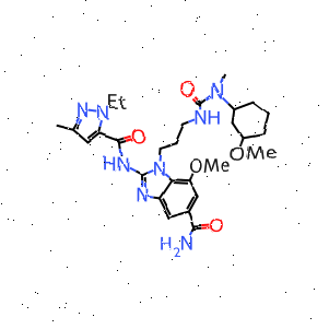 CCn1nc(C)cc1C(=O)Nc1nc2cc(C(N)=O)cc(OC)c2n1CCCNC(=O)N(C)C1CCCC(OC)C1